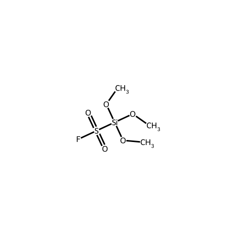 CO[Si](OC)(OC)S(=O)(=O)F